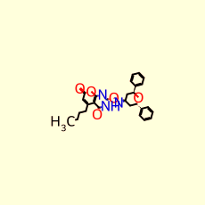 CCCCc1cc(=O)oc2nc(ON=C3C[C@@H](c4ccccc4)O[C@H](c4ccccc4)C3)[nH]c(=O)c12